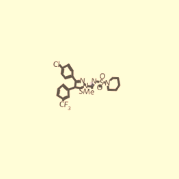 CS/C(=N\S(=O)(=O)N1CCCCC1)N1CC(c2cccc(C(F)(F)F)c2)C(c2ccc(Cl)cc2)=N1